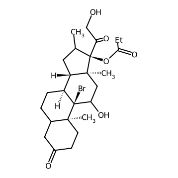 CCC(=O)O[C@]1(C(=O)CO)C(C)C[C@H]2[C@@H]3CCC4CC(=O)CC[C@]4(C)[C@@]3(Br)C(O)C[C@@]21C